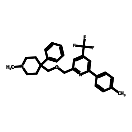 Cc1ccc(-c2cc(C(F)(F)F)cc(COCC3(c4ccccc4)CCN(C)CC3)n2)cc1